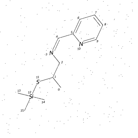 CC(C/N=C\c1ccccn1)S[Si](C)(C)C